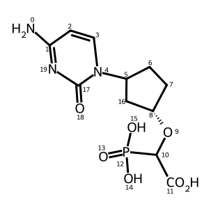 Nc1ccn(C2CC[C@H](OC(C(=O)O)P(=O)(O)O)C2)c(=O)n1